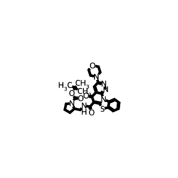 CC(C)(C)OC(=O)N1CCCC1CNC(=O)c1c(=O)c2cc(N3CCOCC3)nnc2n2c1sc1ccccc12